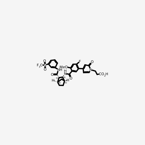 COc1cc(F)c(-c2ccn(CCC(=O)O)c(=O)c2)cc1C(=O)N[C@@H]1[C@H]2CC[C@H](C2)[C@@H]1C(=O)Nc1cccc(S(=O)(=O)C(F)(F)F)c1